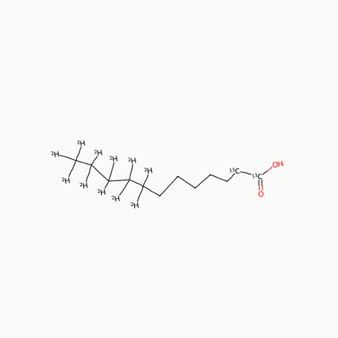 [2H]C([2H])([2H])C([2H])([2H])C([2H])([2H])C([2H])([2H])C([2H])([2H])CCCCC[13CH2][13C](=O)O